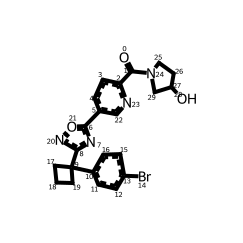 O=C(c1ccc(-c2nc(C3(c4ccc(Br)cc4)CCC3)no2)cn1)N1CCC(O)C1